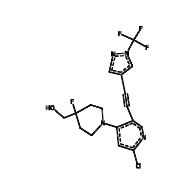 OCC1(F)CCN(c2cc(Cl)ncc2C#Cc2cnn(C(F)(F)F)c2)CC1